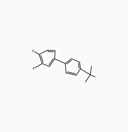 CC(C)(C)c1ccc(-c2ccc(F)c(F)c2)cc1